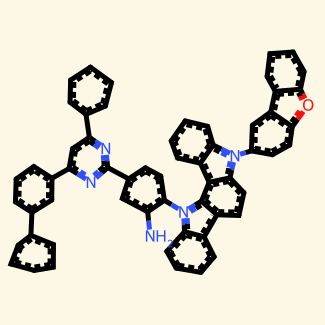 Nc1cc(-c2nc(-c3ccccc3)cc(-c3cccc(-c4ccccc4)c3)n2)ccc1-n1c2ccccc2c2ccc3c(c4ccccc4n3-c3ccc4oc5ccccc5c4c3)c21